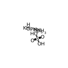 Cl.N.N.O=S(=O)(O)O.P.[KH]